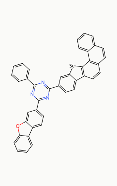 c1ccc(-c2nc(-c3ccc4c(c3)oc3ccccc34)nc(-c3ccc4c(c3)[se]c3c4ccc4ccc5ccccc5c43)n2)cc1